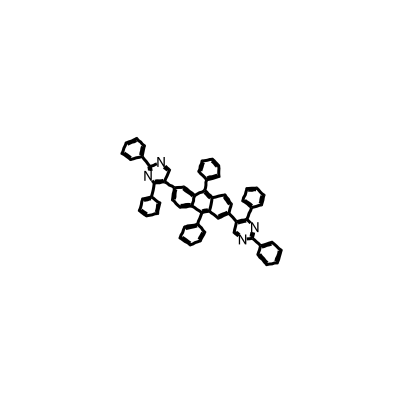 c1ccc(-c2ncc(-c3ccc4c(-c5ccccc5)c5cc(-c6cnc(-c7ccccc7)nc6-c6ccccc6)ccc5c(-c5ccccc5)c4c3)c(-c3ccccc3)n2)cc1